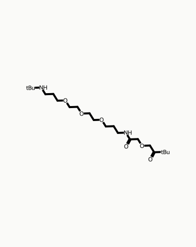 CC(C)(C)NCCCOCCOCCOCCCNC(=O)COCC(=O)C(C)(C)C